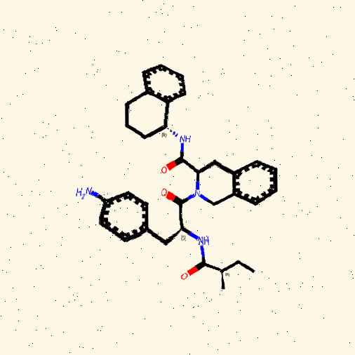 CC[C@@H](C)C(=O)N[C@@H](Cc1ccc(N)cc1)C(=O)N1Cc2ccccc2CC1C(=O)N[C@@H]1CCCc2ccccc21